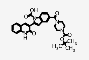 CC(C)(C)OC(=O)N1CCN(C(=O)c2ccc3c(c2)cc(-c2cc4ccccc4[nH]c2=O)n3C(=O)O)CC1